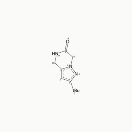 CC(C)(C)c1cc2n(n1)CC(=O)NC2